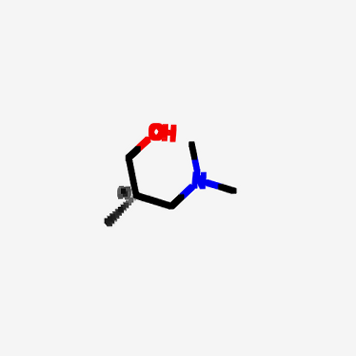 C[C@H](CO)CN(C)C